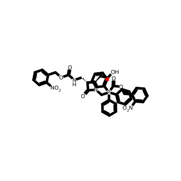 O=C(NC[C@H]1C(=O)N(CP(C(=O)OCc2ccccc2[N+](=O)[O-])(c2ccccc2)(c2ccccc2)c2ccccc2)[C@@H]1CCO)OCc1ccccc1[N+](=O)[O-]